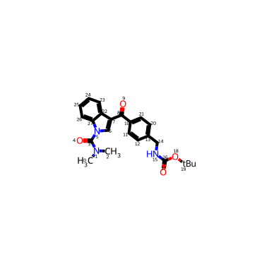 CN(C)C(=O)n1cc(C(=O)c2ccc(CNC(=O)OC(C)(C)C)cc2)c2ccccc21